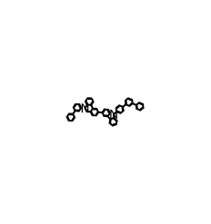 c1ccc(-c2cccc(-c3ccc(-n4c5ccccc5c5cc(-c6ccc7c(c6)-c6ccccc6N(c6cccc(-c8ccccc8)c6)C7)ccc54)cc3)c2)cc1